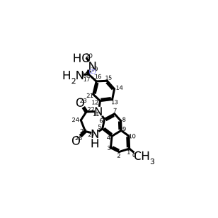 Cc1ccc2c3c(ccc2c1)N(c1cccc(/C(N)=N/O)c1)C(=O)CC(=O)N3